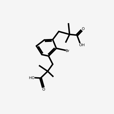 CC(C)(Cc1cccc(CC(C)(C)C(=O)O)c1Br)C(=O)O